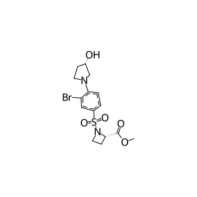 COC(=O)[C@@H]1CCN1S(=O)(=O)c1ccc(N2CC[C@H](O)C2)c(Br)c1